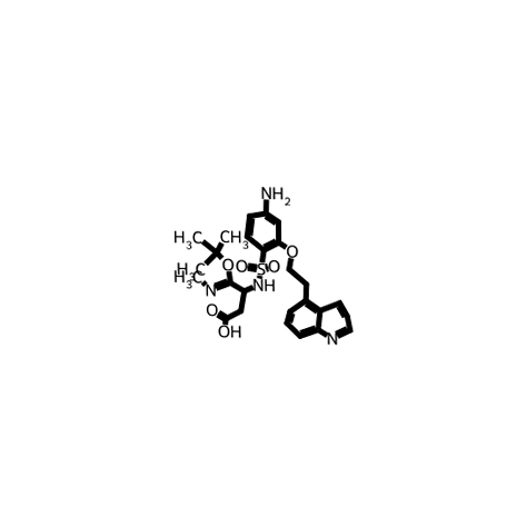 CN=C(OC(C)(C)C)C(CC(=O)O)NS(=O)(=O)c1ccc(N)cc1OCCc1cccc2ncccc12